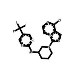 FC(F)(F)c1cnc(NC2CCCN(c3ncc4c(Cl)nccn34)C2)nc1